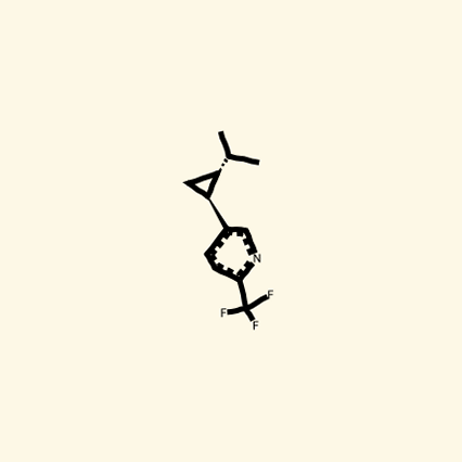 CC(C)[C@H]1C[C@@H]1c1ccc(C(F)(F)F)nc1